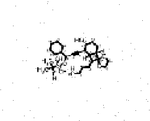 CCCCC1[C@@H]2[C@@H](C#C[C@@H](O[Si](C)(C)C(C)(C)C)C3CCCCC3)[C@H](O)CC[C@@H]2C12OCCO2